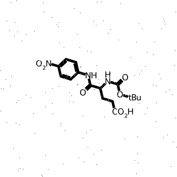 CC(C)(C)OC(=O)NC(CCC(=O)O)C(=O)Nc1ccc([N+](=O)[O-])cc1